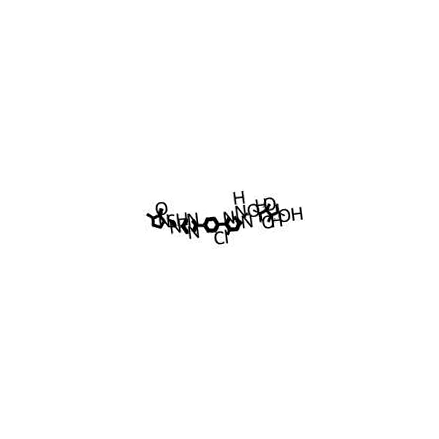 CC1CCN([SH]=Nc2cnc(-c3ccc(-c4nc5[nH]c(O[C@@H]6CO[C@H]7[C@@H]6OC[C@H]7O)nc5cc4Cl)cc3)nc2)C1=O